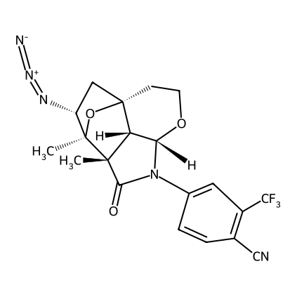 C[C@@]12C(=O)N(c3ccc(C#N)c(C(F)(F)F)c3)[C@H]3OCC[C@]4(C[C@@H](N=[N+]=[N-])[C@@]1(C)O4)[C@H]32